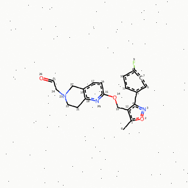 Cc1onc(-c2ccc(F)cc2)c1COc1ccc2c(n1)CCN(CC=O)C2